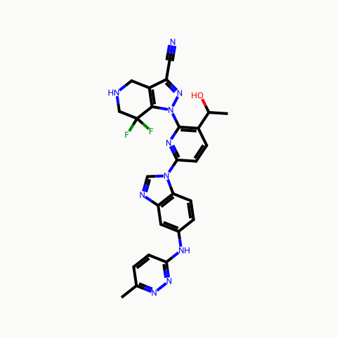 Cc1ccc(Nc2ccc3c(c2)ncn3-c2ccc(C(C)O)c(-n3nc(C#N)c4c3C(F)(F)CNC4)n2)nn1